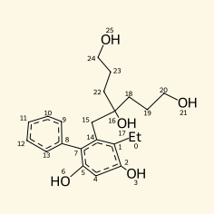 CCc1c(O)cc(O)c(-c2ccccc2)c1CC(O)(CCCO)CCCO